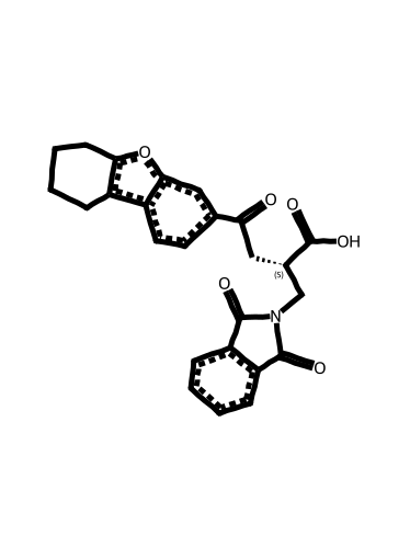 O=C(C[C@@H](CN1C(=O)c2ccccc2C1=O)C(=O)O)c1ccc2c3c(oc2c1)CCCC3